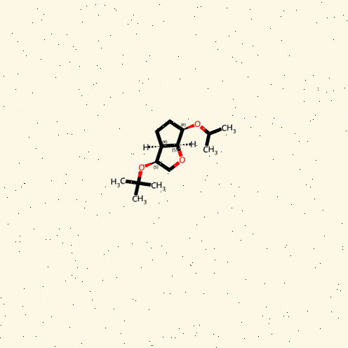 CC(C)O[C@@H]1CC[C@H]2[C@@H]1OC[C@H]2OC(C)(C)C